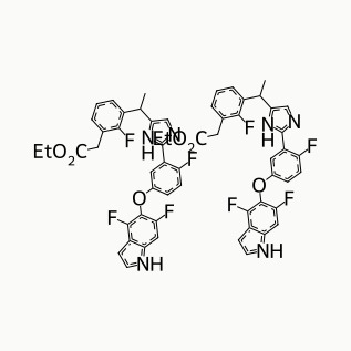 CCOC(=O)Cc1cccc(C(C)c2cnc(-c3cc(Oc4c(F)cc5[nH]ccc5c4F)ccc3F)[nH]2)c1F.CCOC(=O)Cc1cccc(C(C)c2cnc(-c3cc(Oc4c(F)cc5[nH]ccc5c4F)ccc3F)[nH]2)c1F